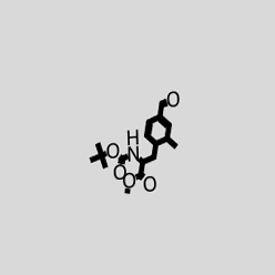 COC(=O)C(CC1C=CC(C=O)=CC1C)NC(=O)OC(C)(C)C